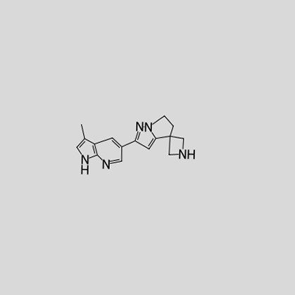 Cc1c[nH]c2ncc(-c3cc4n(n3)CCC43CNC3)cc12